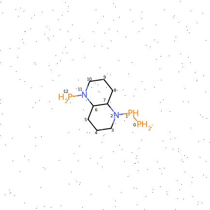 PPN1CCCC2C1CCCN2P